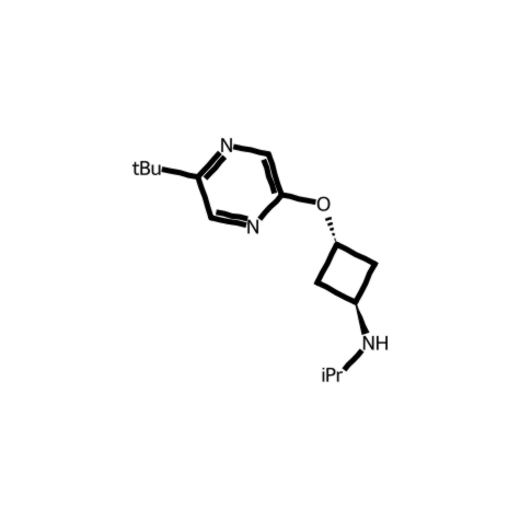 CC(C)N[C@H]1C[C@H](Oc2cnc(C(C)(C)C)cn2)C1